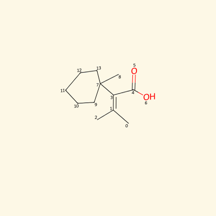 CC(C)=C(C(=O)O)C1(C)CCCCC1